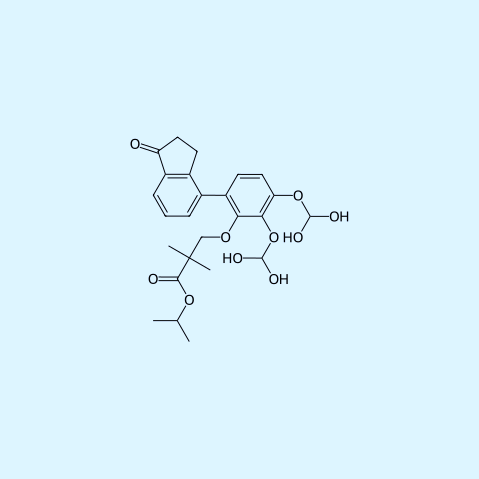 CC(C)OC(=O)C(C)(C)COc1c(-c2cccc3c2CCC3=O)ccc(OC(O)O)c1OC(O)O